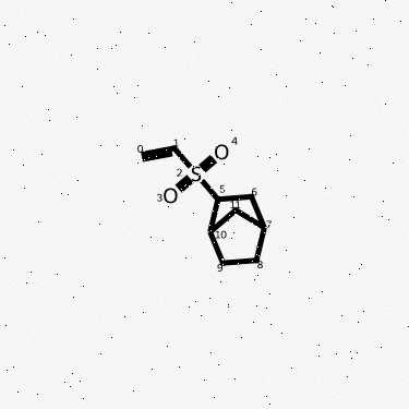 C=CS(=O)(=O)C1CC2CCC1C2